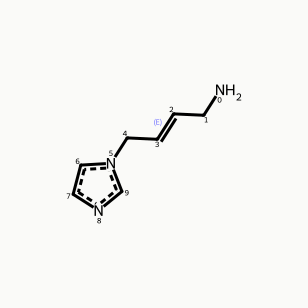 NC/C=C/Cn1ccnc1